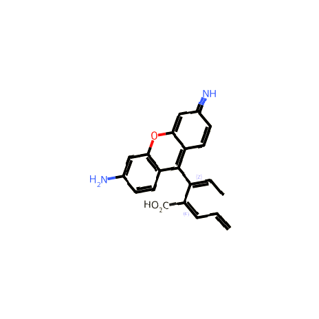 C=C/C=C(C(=O)O)\C(=C/C)c1c2ccc(=N)cc-2oc2cc(N)ccc12